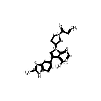 C=CC(=O)N1CCC(n2cc(-c3ccc4[nH]c(C)nc4c3)c3c(N)ncnc32)C1